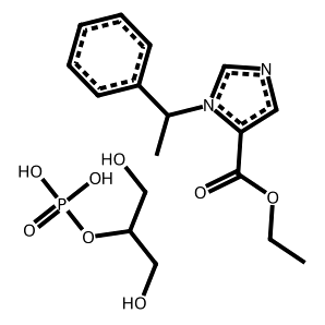 CCOC(=O)c1cncn1C(C)c1ccccc1.O=P(O)(O)OC(CO)CO